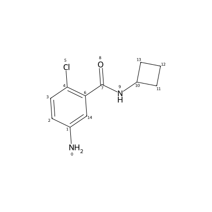 Nc1ccc(Cl)c(C(=O)NC2CCC2)c1